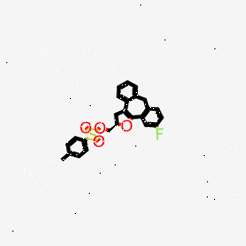 Cc1ccc(S(=O)(=O)OC[C@H]2CC3=C(O2)c2cc(F)ccc2Cc2ccccc23)cc1